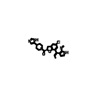 C=Nc1[nH]ccc1/C(=C\C)c1cc(Cl)cc2c1O[C@@H](C(=O)N1CCC(c3cnc[nH]3)CC1)C2